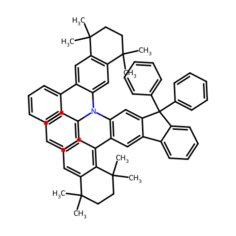 CC1(C)CCC(C)(C)c2cc(N(c3ccccc3)c3cc4c(cc3-c3cccc5c3C(C)(C)CCC5(C)C)-c3ccccc3C4(c3ccccc3)c3ccccc3)c(-c3ccccc3)cc21